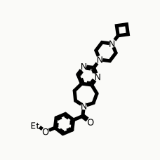 CCOc1ccc(C(=O)N2CCc3cnc(N4CCN(C5CCC5)CC4)nc3CC2)cc1